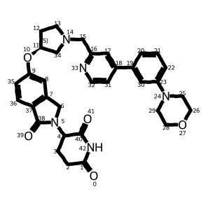 O=C1CCC(N2Cc3cc(O[C@H]4CCN(Cc5cc(-c6cccc(N7CCOCC7)c6)ccn5)C4)ccc3C2=O)C(=O)N1